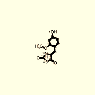 COc1cc(O)ccc1C=C1NC(=O)SC1=O